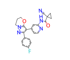 N#CC1(C(=O)Nc2cc(-c3c(-c4ccc(F)cc4)nn4c3OCCC4)ccn2)CC1